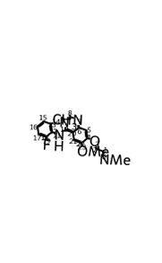 CNCCOc1cc2ncnc(Nc3c(C)cccc3F)c2cc1OC